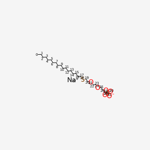 CCCCCCCCCCCCCCCCCCSCCOCCOCCOS(=O)(=O)[O-].[Na+]